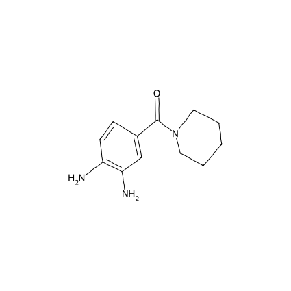 Nc1ccc(C(=O)N2CCCCC2)cc1N